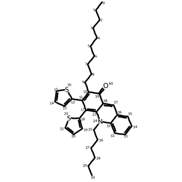 CCCCCCCCCCc1c(-c2cccs2)c(-c2cccs2)c2n(CCCCCC)c3ccccc3cc-2c1=O